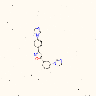 C1=NCCN1c1ccc(-c2cc(-c3cccc(N4C=NCC4)c3)on2)cc1